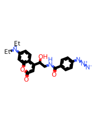 CCN(CC)c1ccc2c(C(O)CNC(=O)c3ccc(N=[N+]=[N-])cc3)cc(=O)oc2c1